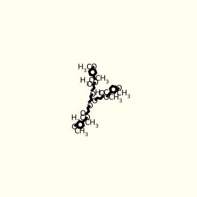 CC(C)(OC(=O)CCOCC(COCCC(=O)OC(C)(C)C1CCC2(C)OC2C1)OCCC(=O)OC(C)(C)C1CCC2OC2(C)C1)C1CCC2(C)OC2C1